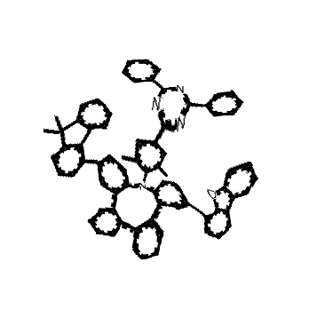 Cc1cc(-c2nc(-c3ccccc3)nc(-c3ccccc3)n2)cc(C)c1-n1c2ccc(-c3cccc4c3-c3ccccc3C4(C)C)cc2c2ccccc2c2ccccc2c2cc(-c3cccc4c3oc3ccccc34)ccc21